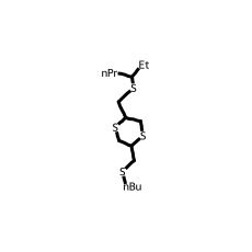 CCCCSCC1CSC(CSC(CC)CCC)CS1